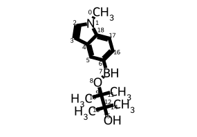 Cn1c#cc2cc(BOC(C)(C)C(C)(C)O)ccc21